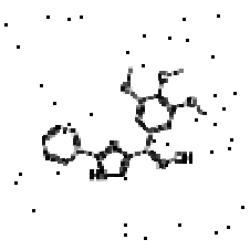 COc1cc(/C(=N\O)c2c[nH]c(-c3ccccc3)n2)cc(OC)c1OC